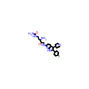 NC(=O)NCCC(N)C(=O)CNc1ccc2c(-c3ccncc3)c(-c3ccc(F)cc3)[nH]c2n1